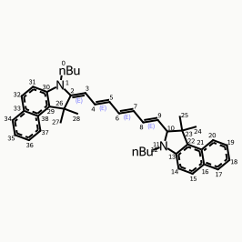 CCCCN1/C(=C/C=C/C=C/C=C/C2N(CCCC)c3ccc4ccccc4c3C2(C)C)C(C)(C)c2c1ccc1ccccc21